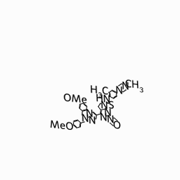 COc1ccc(CN(Cc2ccc(OC)cc2)c2ncc(-c3nc(N4CCOCC4)nc4c3CCN4C(=S)Nc3ccc(N4CCN(C)CC4)cc3C)cn2)cc1